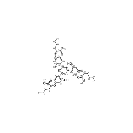 CCCCC(Oc1ccc(-c2nc(-c3ccc(OC(CCCC)C(=O)OC)cc3O)nc(-c3ccc(OC(CCCC)C(=O)OC)cc3O)n2)c(O)c1)C(=O)OC